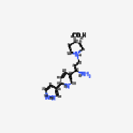 N[C@H](CCN1CCC(C(=O)O)CC1)c1ccc(-c2ccnnc2)nc1